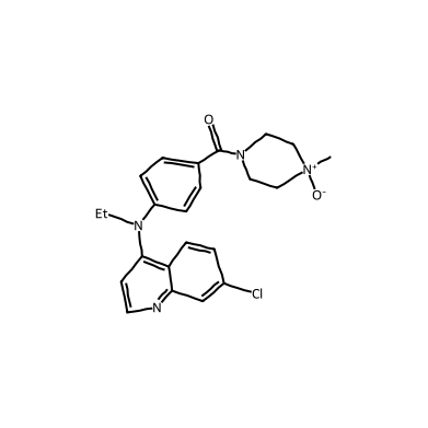 CCN(c1ccc(C(=O)N2CC[N+](C)([O-])CC2)cc1)c1ccnc2cc(Cl)ccc12